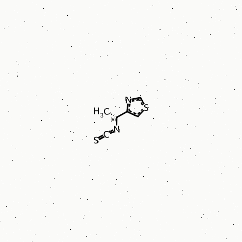 C[C@@H](N=C=S)c1cscn1